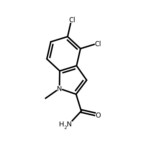 Cn1c(C(N)=O)cc2c(Cl)c(Cl)ccc21